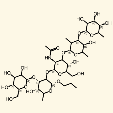 CCCO[C@@H]1OC(C)[C@H](O)[C@H](O[C@H]2O[C@@H](CO)[C@@H](O)C(O)C2O)C1O[C@@H]1OC(CO)[C@@H](O)C(O[C@@H]2OC(C)[C@H](O)[C@H](O[C@@H]3OC(C)[C@H](O)[C@H](O)C3O)C2C)[C@@H]1NC(C)=O